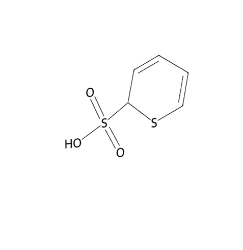 O=S(=O)(O)C1C=CC=CS1